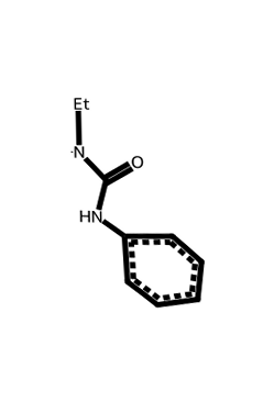 CC[N]C(=O)Nc1ccccc1